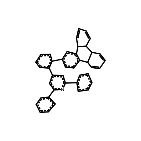 C1=CC2c3ccc(-c4ccccc4-c4cc(-c5ccccc5)nc(-c5ccccc5)c4)cc3C3C=CC=CC3C2C=C1